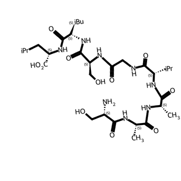 CC[C@H](C)[C@H](NC(=O)[C@H](CO)NC(=O)CNC(=O)[C@@H](NC(=O)[C@H](C)NC(=O)[C@H](C)NC(=O)[C@@H](N)CO)C(C)C)C(=O)N[C@@H](CC(C)C)C(=O)O